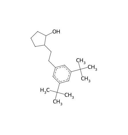 CC(C)(C)c1cc(CCC2CCCC2O)cc(C(C)(C)C)c1